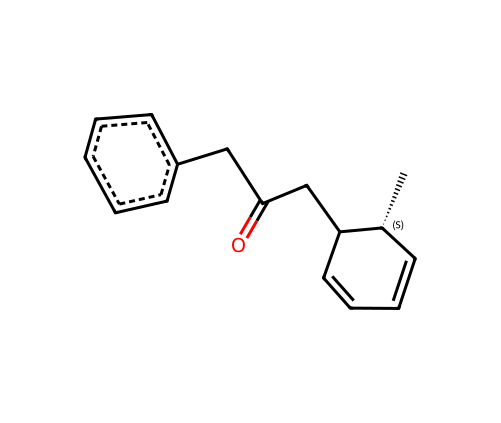 C[C@@H]1C=CC=CC1CC(=O)Cc1ccccc1